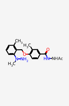 CC(=O)NNC(=O)c1ccc(OCc2c(C)cccc2N(C)N)c(C)c1